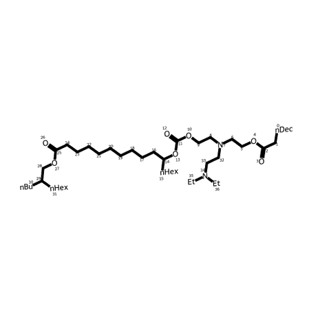 CCCCCCCCCCCC(=O)OCCN(CCOC(=O)OC(CCCCCC)CCCCCCCCCC(=O)OCC(CCCC)CCCCCC)CCN(CC)CC